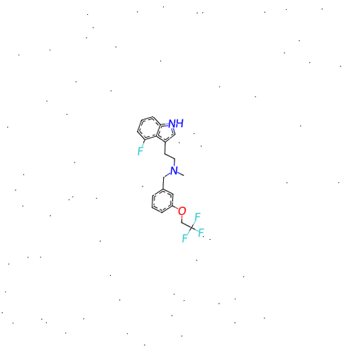 CN(CCc1c[nH]c2cccc(F)c12)Cc1cccc(OCC(F)(F)F)c1